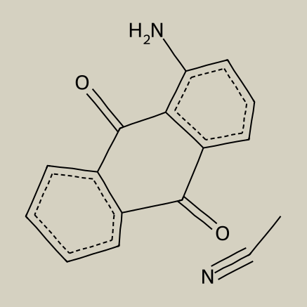 CC#N.Nc1cccc2c1C(=O)c1ccccc1C2=O